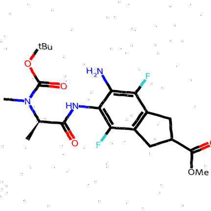 COC(=O)C1Cc2c(F)c(N)c(NC(=O)[C@@H](C)N(C)C(=O)OC(C)(C)C)c(F)c2C1